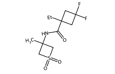 CCC1(C(=O)NC2(C)CS(=O)(=O)C2)CC(F)(F)C1